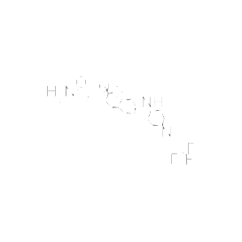 NC(=O)OCCc1cc2ccc(Nc3ccc(N4CCC(C(F)(F)F)CC4)cc3)cc2oc1=O